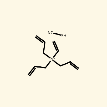 C=CC[N+](C=C)(CC=C)CC=C.N#CS